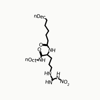 CCCCCCCCCCCCCCCC(=O)NC(CCCNC(=N)N[N+](=O)[O-])C(=O)NCCCCCCCC